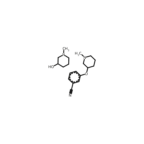 CN1CCCC(O)C1.CN1CCCC(Oc2cccc(C#N)c2)C1